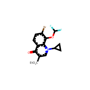 CCOC(=O)c1cn(C2CC2)c2c(OC(F)F)c(Br)ccc2c1=O